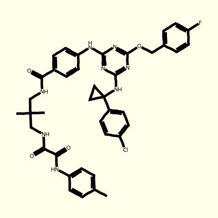 Cc1ccc(NC(=O)C(=O)NCC(C)(C)CNC(=O)c2ccc(Nc3nc(NC4(c5ccc(Cl)cc5)CC4)nc(OCc4ccc(F)cc4)n3)cc2)cc1